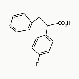 O=C(O)C(Cc1ccncc1)c1ccc(F)cc1